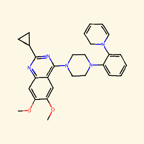 COc1cc2nc(C3CC3)nc(N3CCN(c4ccccc4N4C=CC=CC4)CC3)c2cc1OC